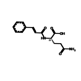 NC(=O)CC[C@H](NC(=O)C=Cc1ccccc1)C(=O)O